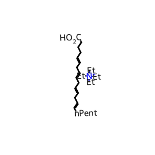 CCCCCC=CCC=CCC=CCC=CCCCC(=O)O.CC[N+](CC)(CC)CC